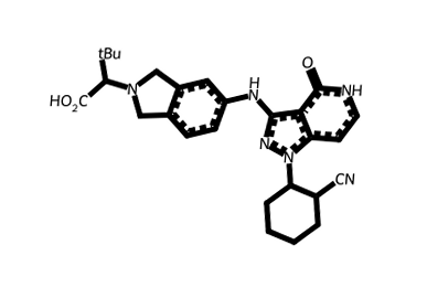 CC(C)(C)C(C(=O)O)N1Cc2ccc(Nc3nn(C4CCCCC4C#N)c4cc[nH]c(=O)c34)cc2C1